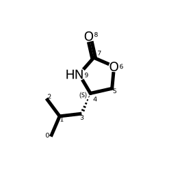 CC(C)C[C@H]1COC(=O)N1